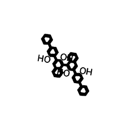 Oc1cc(-c2ccccc2)ccc1-c1cc2ccccc2c(-c2c(O)c(-c3ccc(-c4ccccc4)cc3O)cc3ccccc23)c1O